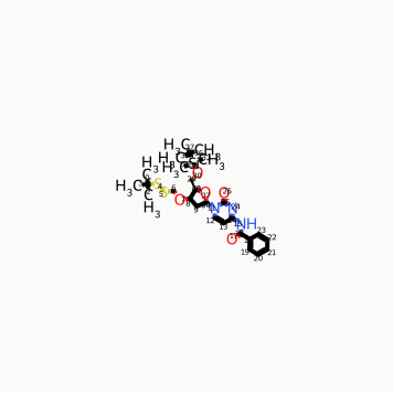 CC(C)(C)SSCOC1C[C@H](n2ccc(NC(=O)c3ccccc3)nc2=O)O[C@@H]1CO[Si](C)(C)C(C)(C)C